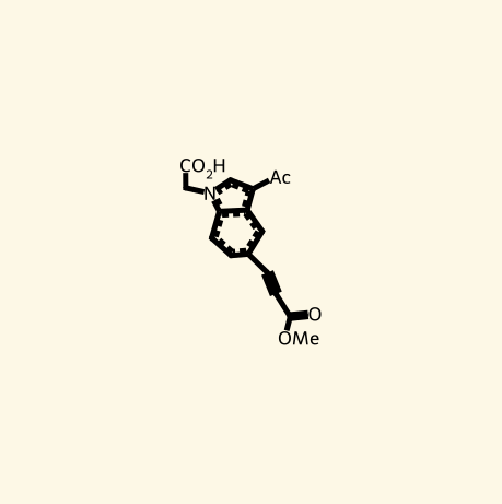 COC(=O)C#Cc1ccc2c(c1)c(C(C)=O)cn2CC(=O)O